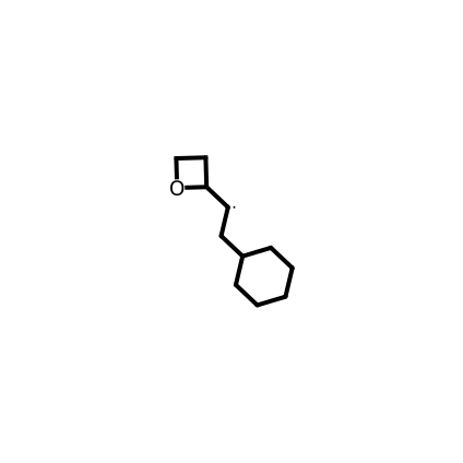 [CH](CC1CCCCC1)C1CCO1